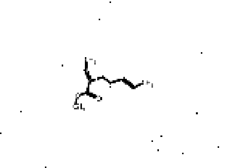 C/C=C/CC/C(=C\C)C(=O)OC